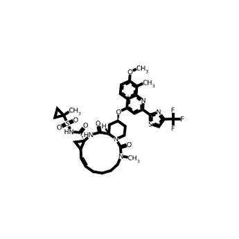 COc1ccc2c(O[C@H]3CCN4C(=O)N(C)CCCC/C=C\C5C[C@@]5(C(=O)NS(=O)(=O)C5(C)CC5)NC(=O)[C@@H]4C3)cc(-c3nc(C(F)(F)F)cs3)nc2c1C